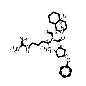 N=C(N)NCCC[C@@H](C=O)N(C(=O)[C@@H]1C[C@H](Oc2ccccc2)CN1)C(=O)[C@H]1NCC[C@@H]2CCCCC21